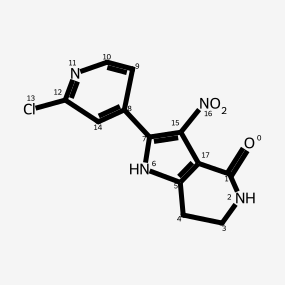 O=C1NCCc2[nH]c(-c3ccnc(Cl)c3)c([N+](=O)[O-])c21